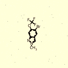 Cn1cc2cc(Br)c(OC(F)(F)F)cc2n1